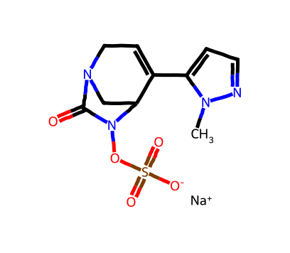 Cn1nccc1C1=CCN2CC1N(OS(=O)(=O)[O-])C2=O.[Na+]